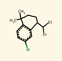 CCC(CC)C1CCC(C)(C)c2ccc(Br)cc21